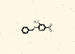 Cc1cc([N+](=O)[O-])cnc1SCc1ccccc1